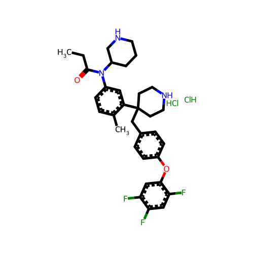 CCC(=O)N(c1ccc(C)c(C2(Cc3ccc(Oc4cc(F)c(F)cc4F)cc3)CCNCC2)c1)C1CCCNC1.Cl.Cl